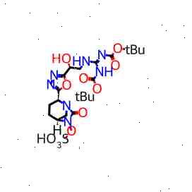 CC(C)(C)OC(=O)/N=C(/NC[C@H](O)c1nnc([C@@H]2CC[C@H]3CN2C(=O)N3OS(=O)(=O)O)o1)NC(=O)OC(C)(C)C